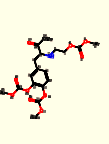 CCCOC(=O)OCCN[C@@H](Cc1ccc(OC(=O)OC(C)CC)c(OC(=O)OC(C)CC)c1)C(=O)OC